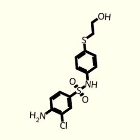 Nc1ccc(S(=O)(=O)Nc2ccc(SCCO)cc2)cc1Cl